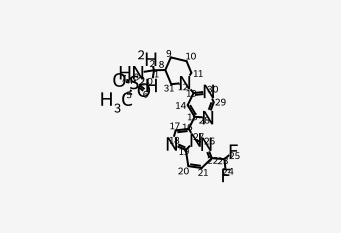 [2H]C([2H])(NS(C)(=O)=O)C1CCCN(c2cc(-c3cnc4ccc(C(F)F)nn34)ncn2)C1